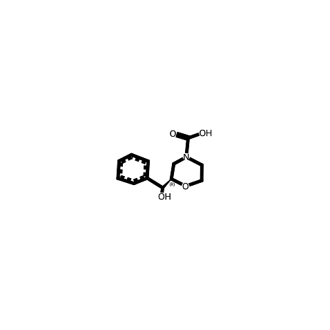 O=C(O)N1CCO[C@@H](C(O)c2ccccc2)C1